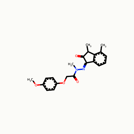 COc1ccc(OCC(=O)N(C)/N=C2\C(=O)C(C)c3c(C)cccc32)cc1